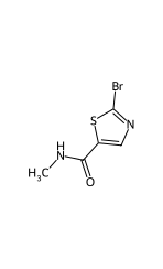 CNC(=O)c1cnc(Br)s1